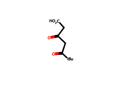 CC(C)(C)C(=O)CC(=O)CC(=O)O